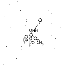 COc1ccc(-c2cc(C(=O)NCCCCCCc3ccccc3)cc(-c3cccc(C(F)(F)F)c3)c2OCC(=O)O)cc1